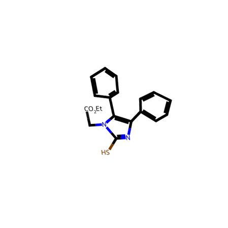 CCOC(=O)Cn1c(S)nc(-c2ccccc2)c1-c1ccccc1